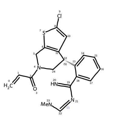 C=CC(=O)N1Cc2sc(Cl)cc2[C@H](c2ccccc2C(=N)/N=C\NC)C1